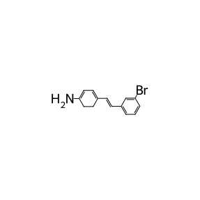 NC1=CC=C(/C=C/c2cccc(Br)c2)CC1